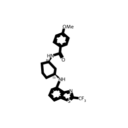 COc1ccc(C(=O)N[C@@H]2CCC[C@H](Nc3cccc4sc(C(F)(F)F)nc34)C2)cc1